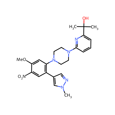 COc1cc(N2CCN(c3cccc(C(C)(C)O)n3)CC2)c(-c2cnn(C)c2)cc1[N+](=O)[O-]